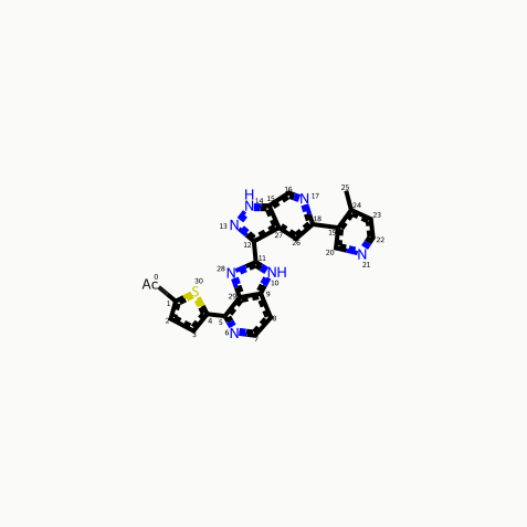 CC(=O)c1ccc(-c2nccc3[nH]c(-c4n[nH]c5cnc(-c6cnccc6C)cc45)nc23)s1